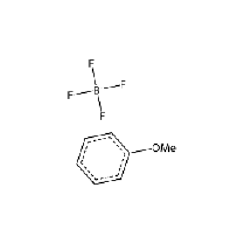 COc1ccccc1.F[B-](F)(F)F